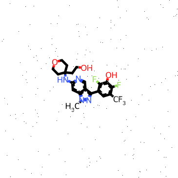 Cn1nc(-c2cc(C(F)(F)F)c(F)c(O)c2F)c2cnc(NC3(CCO)CCOCC3)cc21